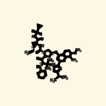 C=C[C@@H]1C[C@]1(NC(=O)[C@@H]1C[C@@H](Oc2cc(-c3nc(C(C)C)cs3)nc3c(C)c(OC)ccc23)CN1C(=O)[C@@H](Nc1ccccn1)C(C)(C)C)C(=O)NS(=O)(=O)C1CC1